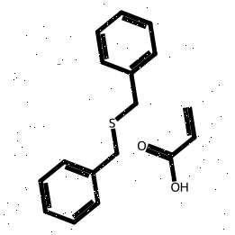 C=CC(=O)O.c1ccc(CSCc2ccccc2)cc1